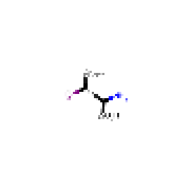 CCC(N)S(=O)(=O)O.CCCCCCP